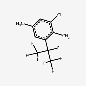 Cc1[c]c(Cl)c(C)c(C(F)(C(F)(F)F)C(F)(F)F)c1